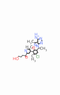 COc1c(C(C)n2nc(C)c3c(N)ncnc32)cc(Cl)c(C)c1-c1ccnc(C(=O)CCCO)c1